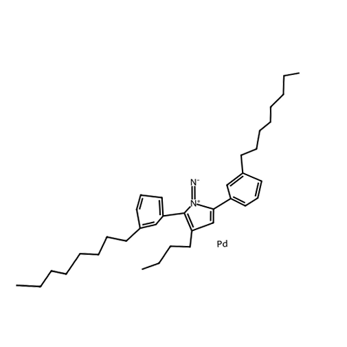 CCCCCCCCc1cccc(C2=CC(CCCC)=C(c3cccc(CCCCCCCC)c3)[N+]2=[N-])c1.[Pd]